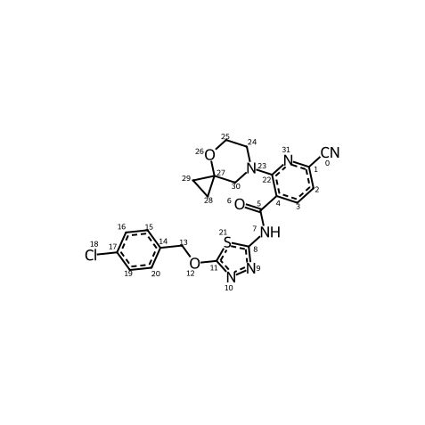 N#Cc1ccc(C(=O)Nc2nnc(OCc3ccc(Cl)cc3)s2)c(N2CCOC3(CC3)C2)n1